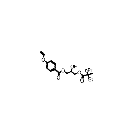 C=COc1ccc(C(=O)OCC(O)COC(=O)C(C)(CC)CCC)cc1